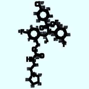 C[C@H](c1ccc(F)cc1COC(=O)NCCN1CCCC1)N(c1cc(F)ccc1F)S(=O)(=O)c1ccc(Cl)cc1